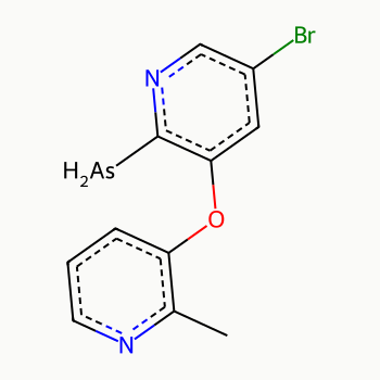 Cc1ncccc1Oc1cc(Br)cnc1[AsH2]